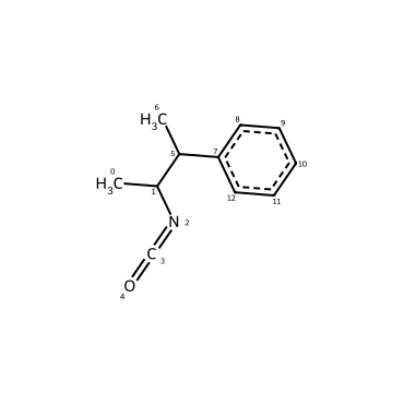 CC(N=C=O)C(C)c1ccccc1